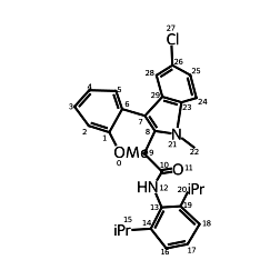 COc1ccccc1-c1c(CC(=O)Nc2c(C(C)C)cccc2C(C)C)n(C)c2ccc(Cl)cc12